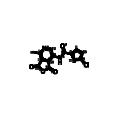 Cc1nnc(NC(=O)c2ccc(Cl)s2)c2c1C(=O)OC2=O